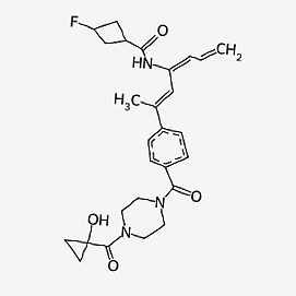 C=C/C=C(\C=C(/C)c1ccc(C(=O)N2CCN(C(=O)C3(O)CC3)CC2)cc1)NC(=O)C1CC(F)C1